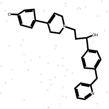 OC(CCN1CC=C(c2ccc(Cl)cc2)CC1)c1ccc(Cc2ccccn2)cc1